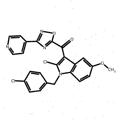 COc1ccc2c(c1)c(C(=O)c1nc(-c3ccncc3)no1)c(Cl)n2Cc1ccc(Cl)cc1